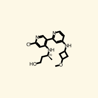 COC1CC(Nc2ccnc(-c3cnc(Cl)cc3N[C@@H](C)CCO)c2)C1